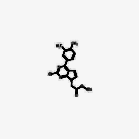 Cc1ccc(-c2nc(Cl)nc3c2ccn3CC(=O)OC(C)(C)C)cc1C